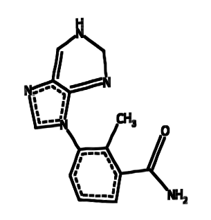 Cc1c(C(N)=O)cccc1-n1cnc2c1=NCNC=2